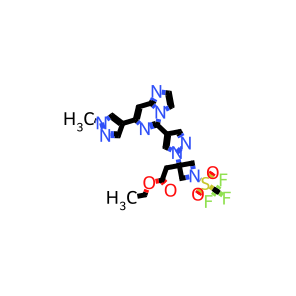 CCOC(=O)CC1(n2cc(-c3nc(-c4cnn(C)c4)cc4nccn34)cn2)CN(S(=O)(=O)C(F)(F)F)C1